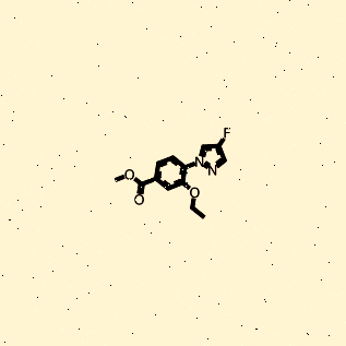 CCOc1cc(C(=O)OC)ccc1-n1cc(F)cn1